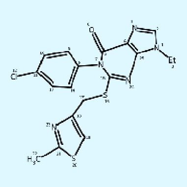 CCn1cnc2c(=O)n(-c3ccc(Cl)cc3)c(SCc3csc(C)n3)nc21